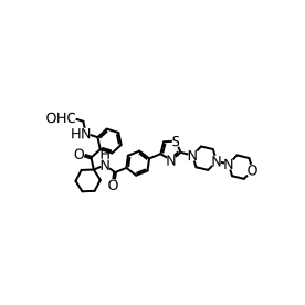 O=CCNc1ccccc1C(=O)C1(NC(=O)c2ccc(-c3csc(N4CCN(N5CCOCC5)CC4)n3)cc2)CCCCC1